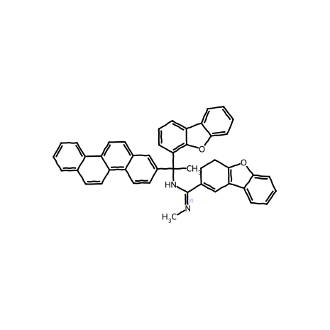 C/N=C(\NC(C)(c1ccc2c(ccc3c4ccccc4ccc23)c1)c1cccc2c1oc1ccccc12)C1=Cc2c(oc3ccccc23)CC1